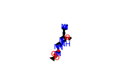 CC(C)Oc1cc(Nc2ccnc(-c3cnn(S(=O)(=O)C4CC4)c3)n2)ncc1C#Cc1cnn(C)c1